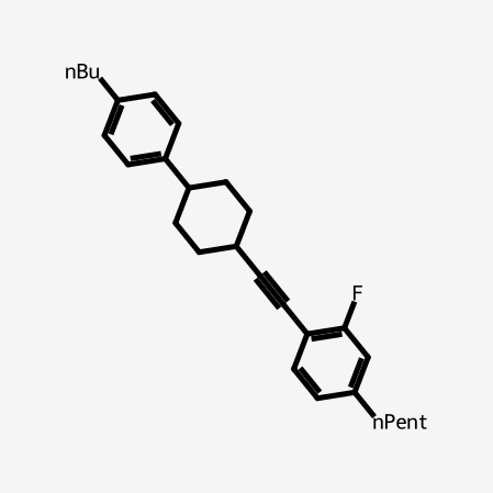 CCCCCc1ccc(C#CC2CCC(c3ccc(CCCC)cc3)CC2)c(F)c1